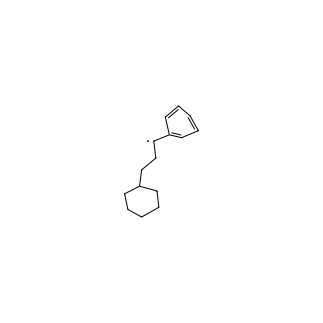 [CH](CCC1CCCCC1)c1ccccc1